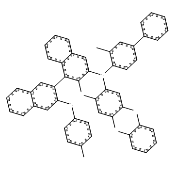 Cc1cc(-c2ccccc2)ccc1N1c2cc3c(cc2Bc2c1cc1ccccc1c2-c1cc2ccccc2cc1Nc1ccc(C(C)(C)C)cc1)Oc1ccccc1O3